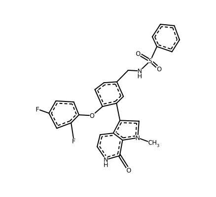 Cn1cc(-c2cc(CNS(=O)(=O)c3ccccc3)ccc2Oc2ccc(F)cc2F)c2cc[nH]c(=O)c21